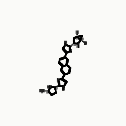 C[C@H]1CC[C@@H](c2nc(-c3ccc4cc(-c5c[nH]c([C@@H]6C[C@H]7C[C@H]7N6)n5)ccc4c3)c[nH]2)N1